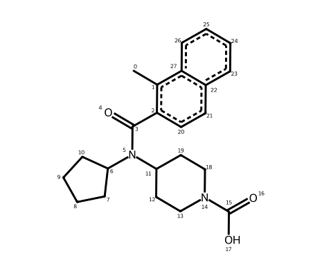 Cc1c(C(=O)N(C2CCCC2)C2CCN(C(=O)O)CC2)ccc2ccccc12